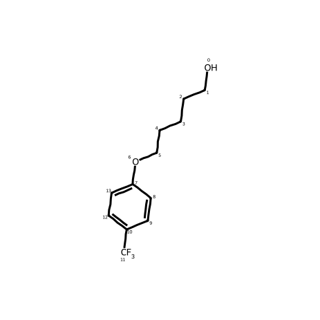 OCCCCCOc1ccc(C(F)(F)F)cc1